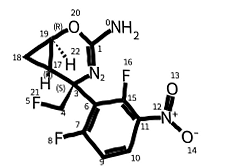 NC1=N[C@](CF)(c2c(F)ccc([N+](=O)[O-])c2F)[C@H]2C[C@H]2O1